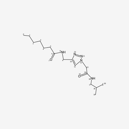 CCCCCCC(=O)NCc1cn(CC(=O)NCC(C)I)nn1